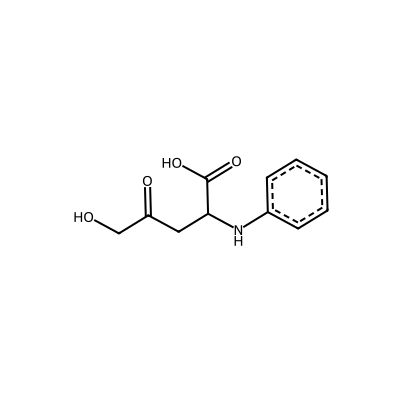 O=C(CO)CC(Nc1ccccc1)C(=O)O